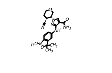 CC1(C)OB(O)c2ccc(Nc3nn([C@H]4COCC[C@@H]4C#N)cc3C(N)=O)cc21